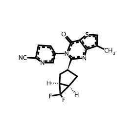 Cc1csc2c(=O)n(-c3ccc(C#N)nc3)c([C@H]3C[C@@H]4[C@H](C3)C4(F)F)nc12